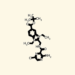 CCn1c(CNC(=O)c2nc(Cl)cnc2N)[n+](CC)c2cc(C(=O)OC(C)(C)C)ccc21